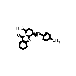 Cc1ccc(NN=C2CCC(C)n3c2nc2c(c3=O)CCCC2)cc1